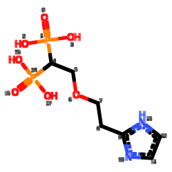 O=P(O)(O)C(COCCc1ncc[nH]1)P(=O)(O)O